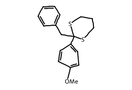 COc1ccc(C2(Cc3ccccc3)SCCCS2)cc1